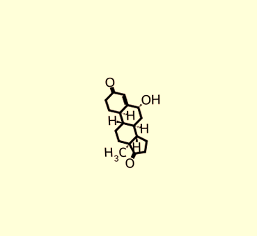 C[C@]12CC[C@H]3[C@@H](C[C@@H](O)C4=CC(=O)CC[C@@H]43)[C@@H]1CCC2=O